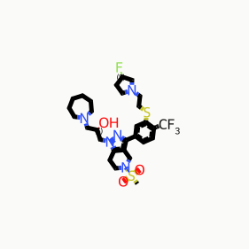 CS(=O)(=O)N1CCc2c(c(-c3ccc(C(F)(F)F)c(SCCN4CC[C@H](F)C4)c3)nn2C[C@@H](O)CN2CCCCCC2)C1